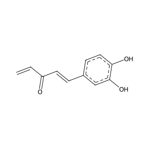 C=CC(=O)C=Cc1ccc(O)c(O)c1